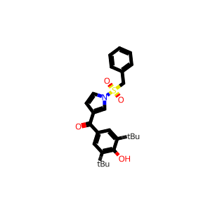 CC(C)(C)c1cc(C(=O)c2ccn(S(=O)(=O)Cc3ccccc3)c2)cc(C(C)(C)C)c1O